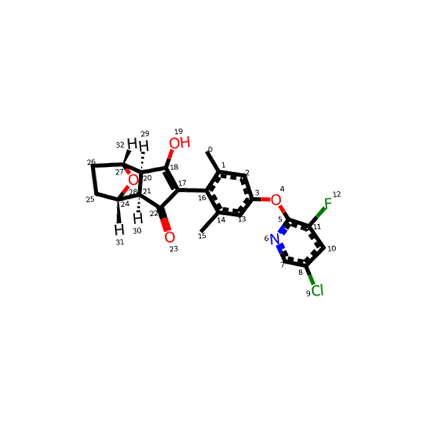 Cc1cc(Oc2ncc(Cl)cc2F)cc(C)c1C1=C(O)[C@H]2[C@@H](C1=O)[C@@H]1CC[C@H]2O1